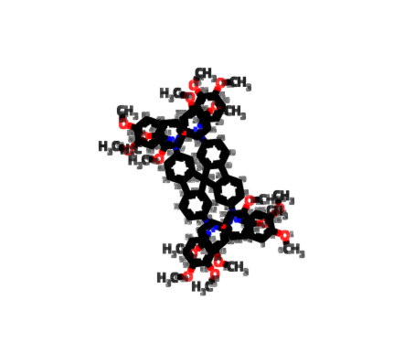 COc1ccc(N(c2ccc(OC)c(OC)c2)c2ccc3c(c2)C2(c4cc(N(c5ccc(OC)c(OC)c5)c5ccc(OC)c(OC)c5)ccc4-3)c3cc(N(c4ccc(OC)c(OC)c4)c4ccc(OC)c(OC)c4)ccc3-c3ccc(N(c4ccc(OC)c(OC)c4)c4ccc(OC)c(OC)c4)cc32)cc1OC